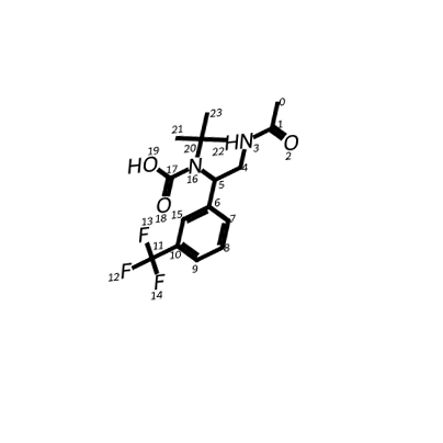 CC(=O)NCC(c1cccc(C(F)(F)F)c1)N(C(=O)O)C(C)(C)C